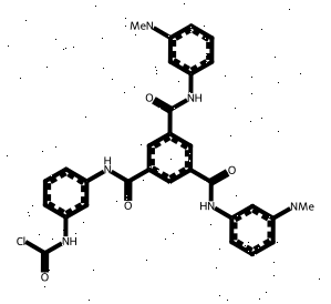 CNc1cccc(NC(=O)c2cc(C(=O)Nc3cccc(NC)c3)cc(C(=O)Nc3cccc(NC(=O)Cl)c3)c2)c1